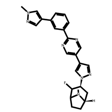 CN1C2CC[C@H]1C[C@H](n1cc(-c3cnc(-c4cccc(-c5cnn(C)c5)c4)nc3)cn1)C2F